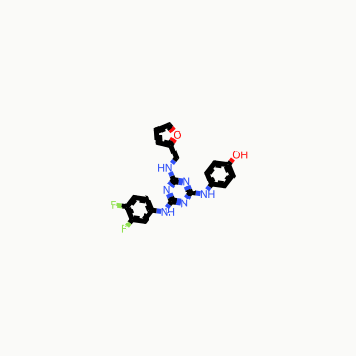 Oc1ccc(Nc2nc(NCc3ccco3)nc(Nc3ccc(F)c(F)c3)n2)cc1